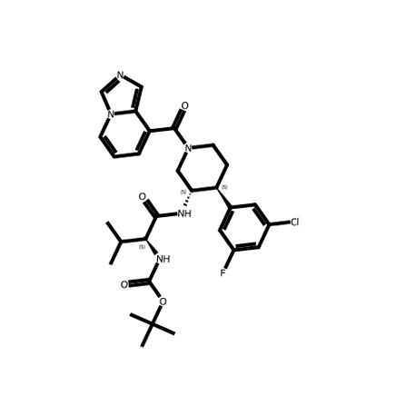 CC(C)[C@H](NC(=O)OC(C)(C)C)C(=O)N[C@@H]1CN(C(=O)c2cccn3cncc23)CC[C@H]1c1cc(F)cc(Cl)c1